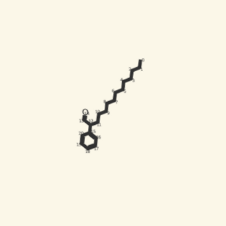 CCCCCCCCCCCCC(C=O)c1ccccc1